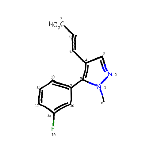 Cn1ncc(C=CC(=O)O)c1-c1cccc(F)c1